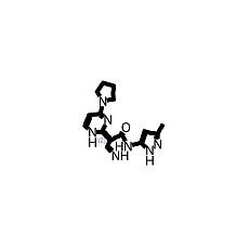 Cc1cc(NC(=O)/C(C=N)=C2\N=C(N3CCCC3)C=CN2)[nH]n1